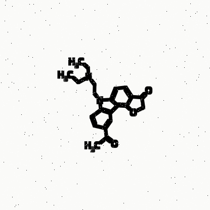 CCN(CC)CCn1c2ccc(C(C)=O)cc2c2c3c(ccc21)C(=O)CO3